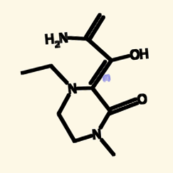 C=C(N)/C(O)=C1/C(=O)N(C)CCN1CC